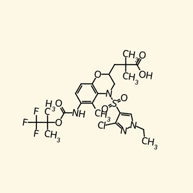 CCn1cc(S(=O)(=O)N2CC(CC(C)(C)C(=O)O)Oc3ccc(NC(=O)OC(C)(C)C(F)(F)F)c(C)c32)c(Cl)n1